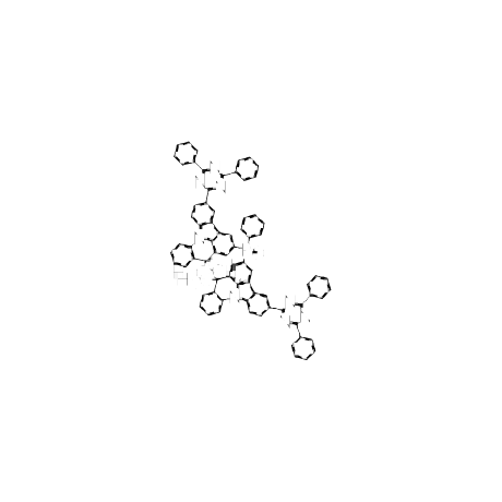 CC1(C)c2ccccc2-n2c3ccc(-c4nc(-c5ccccc5)nc(-c5ccccc5)n4)cc3c3cc(P(=O)(c4ccccc4)c4cc5c6c(c4)c4cc(-c7nc(-c8ccccc8)nc(-c8ccccc8)n7)ccc4n6-c4ccccc4C5(C)C)cc1c32